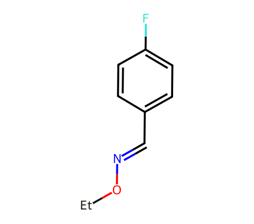 CCO/N=C/c1ccc(F)cc1